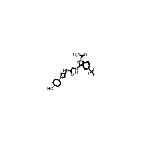 NC(=O)n1nc(NCC(=O)NC2CN([C@H]3CC[C@@H](O)CC3)C2)c2cc(C(F)(F)F)ccc21